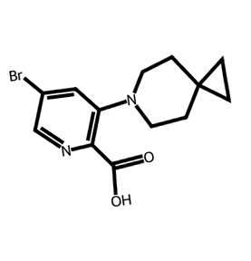 O=C(O)c1ncc(Br)cc1N1CCC2(CC1)CC2